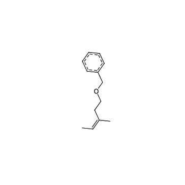 C/C=C(/C)CCOCc1ccccc1